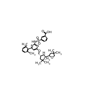 Cc1cccc(C)c1-c1cc(OC[C@@H](CC(C)(C)C)NCC2CC(C)(C)CO2)nc(NS(=O)(=O)c2cccc(C(=O)O)c2)n1